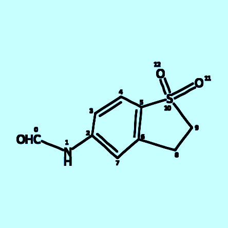 O=CNc1ccc2c(c1)CCS2(=O)=O